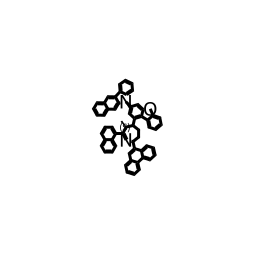 C[C@@H]1C(c2cccc3ccccc23)=NC(c2cc3ccccc3c3ccccc23)CCC1c1cc(-n2c3ccccc3c3cc4ccccc4cc32)cc2oc3ccccc3c12